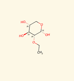 CCO[C@@H]1[C@@H](O)[C@H](O)CO[C@@H]1O